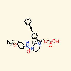 COc1ccc(NC(=O)N2CCCCN3[C@H](COCC(=O)O)[C@H](c4ccc(C#Cc5ccccc5)cc4)[C@@H]3C2)cc1